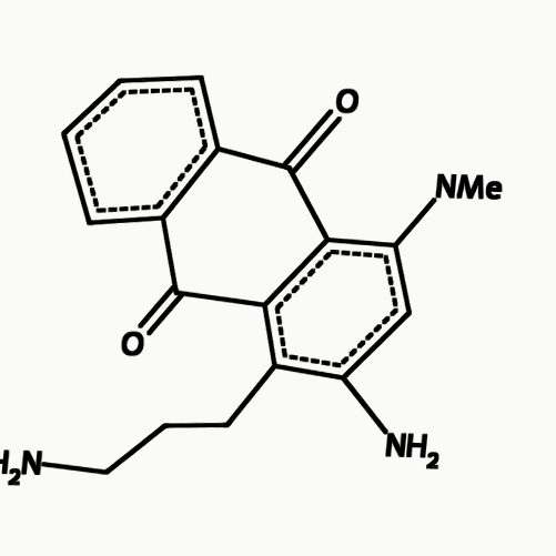 CNc1cc(N)c(CCCN)c2c1C(=O)c1ccccc1C2=O